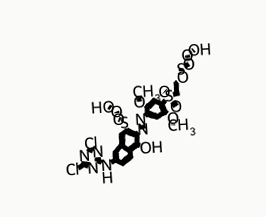 COc1cc(S(=O)(=O)CCOSOOO)c(OC)cc1/N=N/c1c(SOOO)cc2cc(Nc3nc(Cl)nc(Cl)n3)ccc2c1O